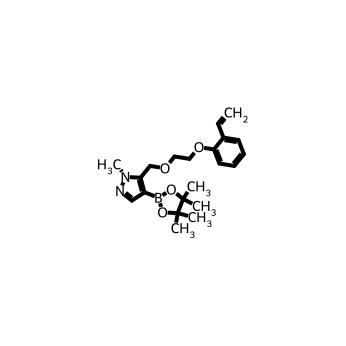 C=Cc1ccccc1OCCOCc1c(B2OC(C)(C)C(C)(C)O2)cnn1C